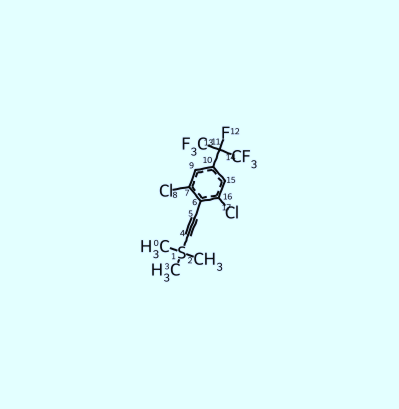 CS(C)(C)C#Cc1c(Cl)cc(C(F)(C(F)(F)F)C(F)(F)F)cc1Cl